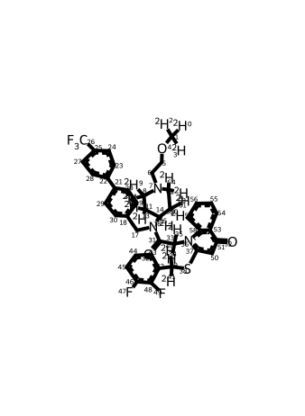 [2H]C([2H])([2H])OCCN1C([2H])([2H])C([2H])([2H])C([2H])(N(Cc2ccc(-c3ccc(C(F)(F)F)cc3)cc2)C(=O)C([2H])([2H])n2c(SC([2H])([2H])c3cccc(F)c3F)cc(=O)c3ccccc32)C([2H])([2H])C1([2H])[2H]